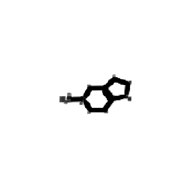 CN1CCC2=C(CCS2)C1